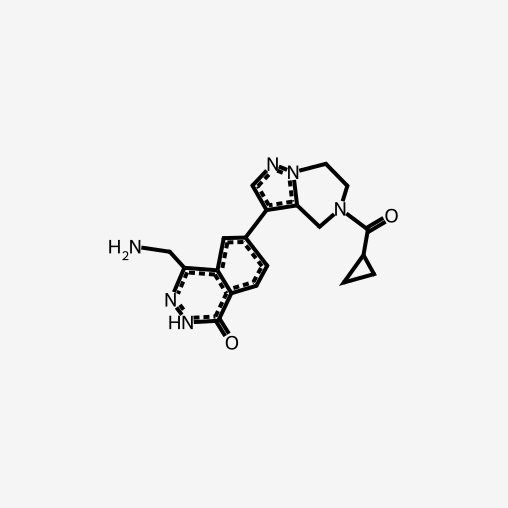 NCc1n[nH]c(=O)c2ccc(-c3cnn4c3CN(C(=O)C3CC3)CC4)cc12